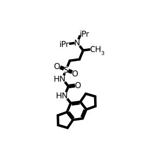 CC(C)N(C(C)C)C(C)CCS(=O)(=O)NC(=O)Nc1c2c(cc3c1CCC3)CCC2